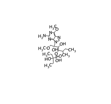 CCC(C)C(OP(=O)(O)C(O)(CC)CC)C(O)[C@@](O)(COC)n1cnc2c(OC)nc(N)nc21